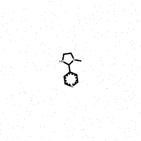 CN1CCNC1c1ccncc1